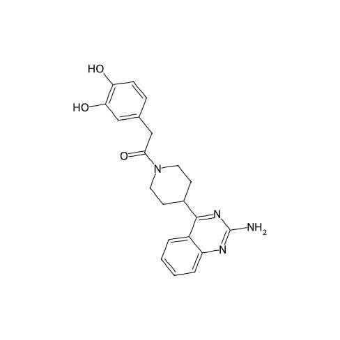 Nc1nc(C2CCN(C(=O)Cc3ccc(O)c(O)c3)CC2)c2ccccc2n1